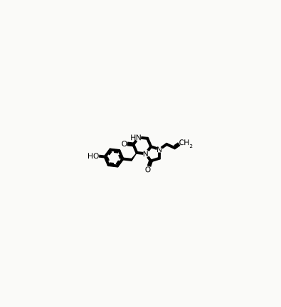 C=CCN1CC(=O)N2C1CNC(=O)[C@@H]2Cc1ccc(O)cc1